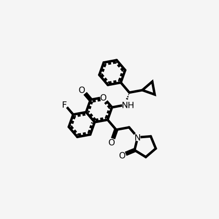 O=C(CN1CCCC1=O)c1c(N[C@H](c2ccccc2)C2CC2)oc(=O)c2c(F)cccc12